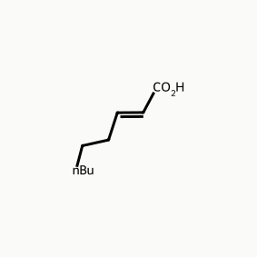 CCCCCCC=CC(=O)O